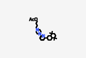 CC(=O)OCCCCN1CCN(c2cccc(C3CCC4C(C3)C(C)(C)CCC4(C)C)n2)CC1